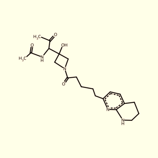 CC(=O)NC(C(C)=O)C1(O)CN(C(=O)CCCCc2ccc3c(n2)NCCC3)C1